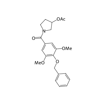 COc1cc(C(=O)N2CCC(OC(C)=O)C2)cc(OC)c1OCc1ccccc1